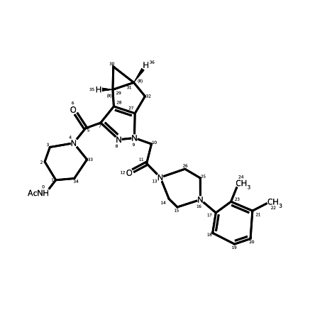 CC(=O)NC1CCN(C(=O)c2nn(CC(=O)N3CCN(c4cccc(C)c4C)CC3)c3c2[C@@H]2C[C@@H]2C3)CC1